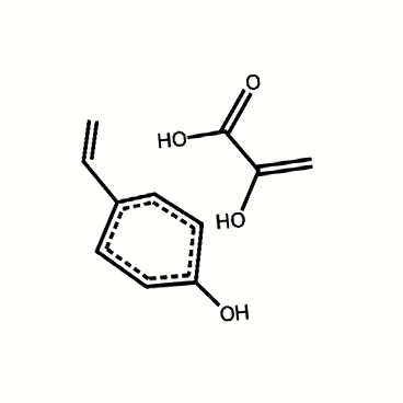 C=C(O)C(=O)O.C=Cc1ccc(O)cc1